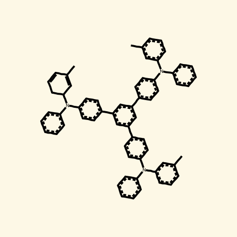 CC1=CC(N(c2ccccc2)c2ccc(-c3cc(-c4ccc(N(c5ccccc5)c5cccc(C)c5)cc4)cc(-c4ccc(N(c5ccccc5)c5cccc(C)c5)cc4)c3)cc2)CC=C1